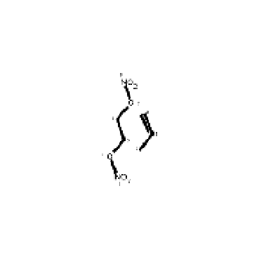 C=CC.O=[N+]([O-])OCCO[N+](=O)[O-]